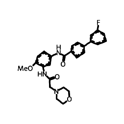 COc1ccc(NC(=O)c2ccc(-c3cccc(F)c3)cc2)cc1NC(=O)CN1CCOCC1